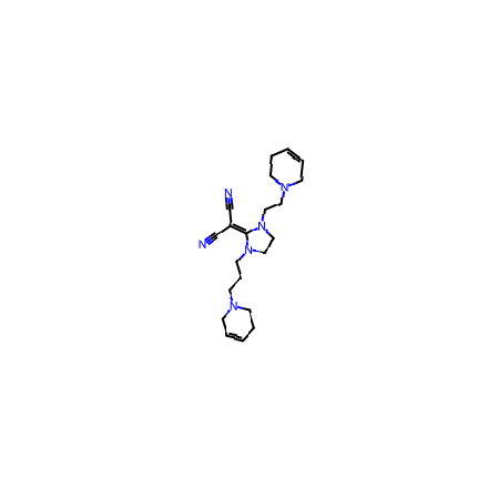 N#CC(C#N)=C1N(CCCN2CC=CCC2)CCN1CCN1CC=CCC1